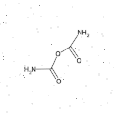 NC(=O)OC(N)=O